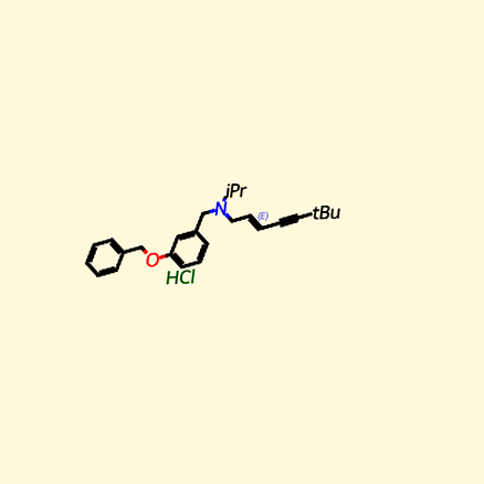 CC(C)N(C/C=C/C#CC(C)(C)C)Cc1cccc(OCc2ccccc2)c1.Cl